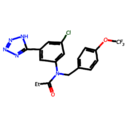 CCC(=O)N(Cc1ccc(OC(F)(F)F)cc1)c1cc(Cl)cc(-c2nnn[nH]2)c1